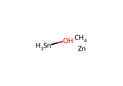 C.[OH][SnH3].[Zn]